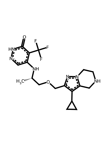 C[C@@H](COCc1nn2c(c1C1CC1)CNCC2)Nc1cn[nH]c(=O)c1C(F)(F)F